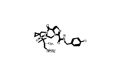 CC(=O)NC[C@@H](O)C(C)(C)S(=O)(=O)C1(CN2CCn3c(cnc3C(=O)NCc3ccc(Cl)cc3)C2=O)CC1